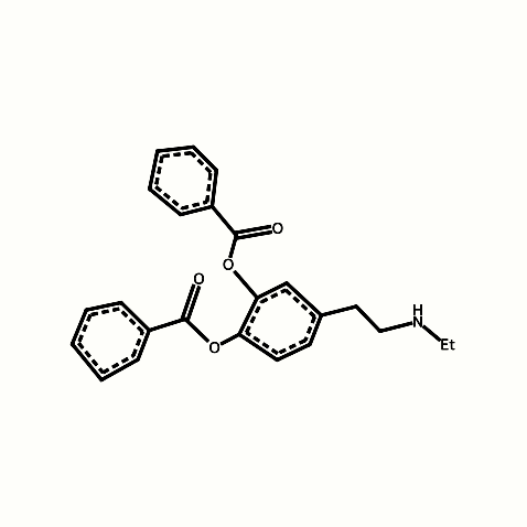 CCNCCc1ccc(OC(=O)c2ccccc2)c(OC(=O)c2ccccc2)c1